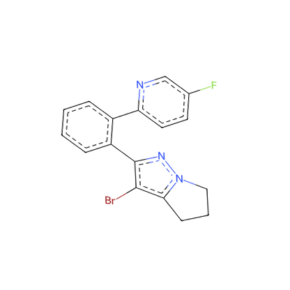 Fc1ccc(-c2ccccc2-c2nn3c(c2Br)CCC3)nc1